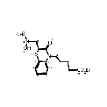 CCOC(=O)CCCCN1C(=O)C(CN(O)C=O)Sc2ccccc21